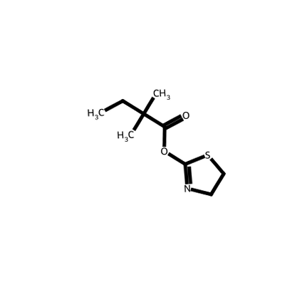 CCC(C)(C)C(=O)OC1=NCCS1